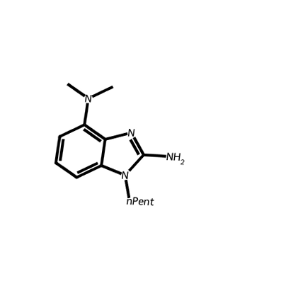 CCCCCn1c(N)nc2c(N(C)C)cccc21